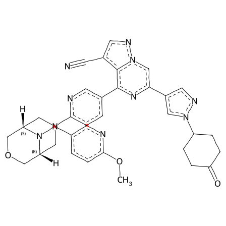 COc1ccc(CN2[C@@H]3COC[C@H]2CN(c2ccc(-c4nc(-c5cnn(C6CCC(=O)CC6)c5)cn5ncc(C#N)c45)cn2)C3)cn1